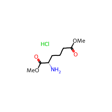 COC(=O)CCC[C@H](N)C(=O)OC.Cl